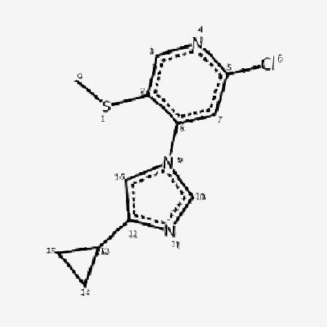 CSc1cnc(Cl)cc1-n1cnc(C2CC2)c1